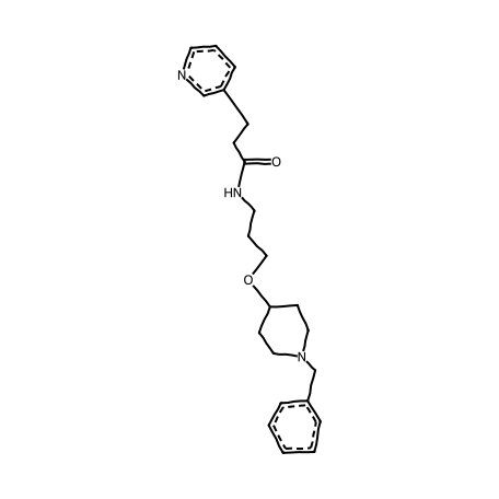 O=C(CCc1cccnc1)NCCCOC1CCN(Cc2ccccc2)CC1